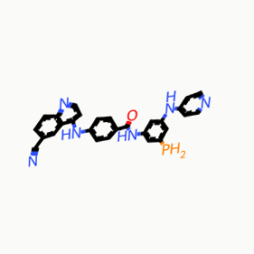 N#Cc1ccc2nccc(Nc3ccc(C(=O)Nc4cc(P)cc(Nc5ccncc5)c4)cc3)c2c1